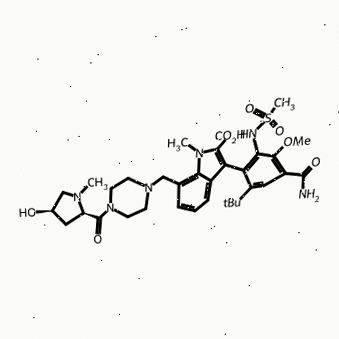 COc1c(C(N)=O)cc(C(C)(C)C)c(-c2c(C(=O)O)n(C)c3c(CN4CCN(C(=O)[C@H]5C[C@@H](O)CN5C)CC4)cccc23)c1NS(C)(=O)=O